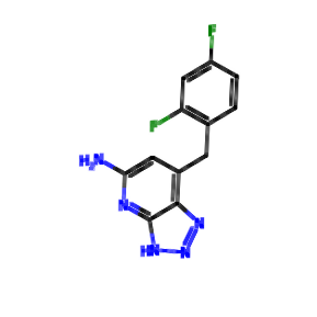 Nc1cc(Cc2ccc(F)cc2F)c2nn[nH]c2n1